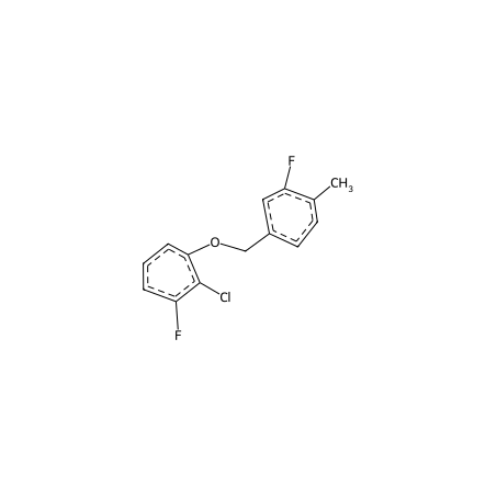 Cc1ccc(COc2cccc(F)c2Cl)cc1F